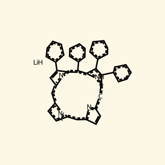 C1=Cc2cc3[nH]c(c(-c4ccccc4)c4nc(cc5ccc(cc1n2)[nH]5)C=C4c1ccccc1)c(-c1ccccc1)c3-c1ccccc1.[LiH]